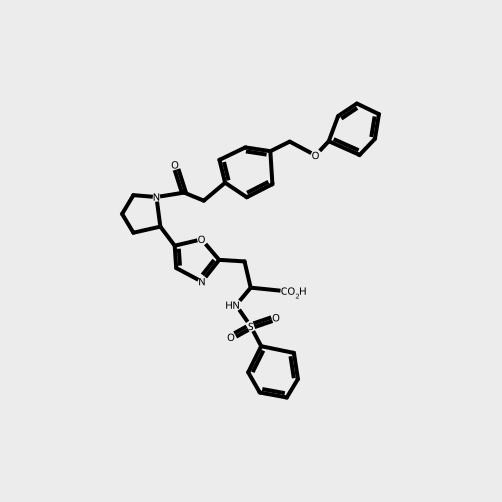 O=C(O)C(Cc1ncc(C2CCCN2C(=O)Cc2ccc(COc3ccccc3)cc2)o1)NS(=O)(=O)c1ccccc1